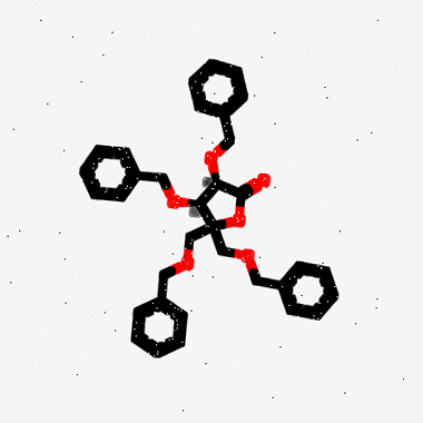 O=C1OC(COCc2ccccc2)(COCc2ccccc2)[C@@H](OCc2ccccc2)[C@H]1OCc1ccccc1